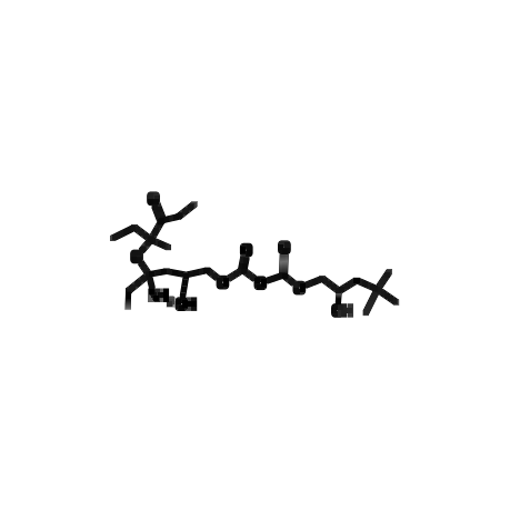 CCC(=O)C(C)(CC)OC(N)(CC)CC(O)COC(=O)OC(=O)OCC(O)CC(C)(C)C